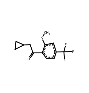 CSc1cc(C(F)(F)F)ccc1C(=O)CC1CC1